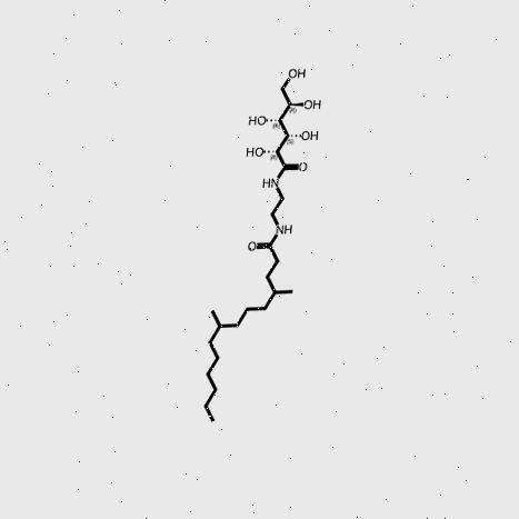 CCCCCCC(C)CCCC(C)CCC(=O)NCCNC(=O)[C@H](O)[C@@H](O)[C@H](O)[C@H](O)CO